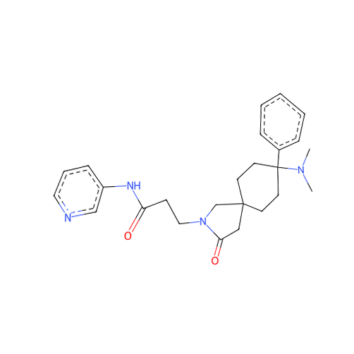 CN(C)C1(c2ccccc2)CCC2(CC1)CC(=O)N(CCC(=O)Nc1cccnc1)C2